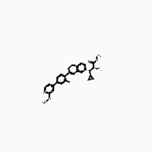 COC(=O)[C@@H](C)[C@@H](c1ccc2c(c1)C=C(c1ccc(-c3ccnc(OC)c3)cc1F)CC2)C1CC1